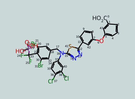 O=C(O)c1cccc(Oc2cccc(-c3nnc(N(Cc4cc(Br)c(C(F)(F)P(=O)(O)O)c(Br)c4)c4ccc(Cl)c(Cl)c4)s3)c2)c1